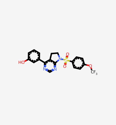 O=S(=O)(c1ccc(OC(F)(F)F)cc1)N1CCc2c(-c3cccc(O)c3)ncnc21